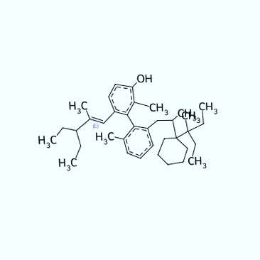 CCC(CC)/C(C)=C/c1ccc(O)c(C)c1-c1c(C)cccc1CC(C)C1(C(C)(CC)CC)CCCCC1